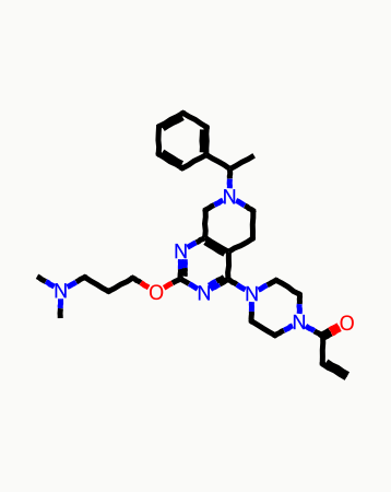 C=CC(=O)N1CCN(c2nc(OCCCN(C)C)nc3c2CCN(C(C)c2ccccc2)C3)CC1